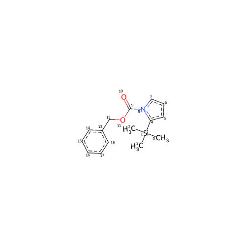 C[Si](C)(C)c1cccn1C(=O)OCc1ccccc1